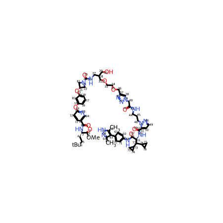 COC(=O)[C@H](CCC(C)(C)C)NC(=O)c1ccc(Oc2cccc(OC3CN(C(=O)NCC(CO)COCCOCc4cn(CC(=O)NCCCn5nccc5C(=O)N[C@H](C(=O)Nc5ccc(-c6c(C)n[nH]c6C)cc5)C(C5CC5)C5CC5)nn4)C3)c2)nc1